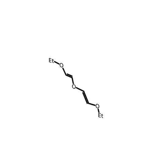 CCOC=COC=COCC